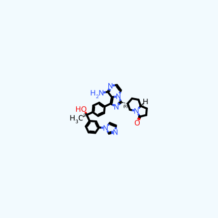 C[C@](O)(c1ccc(-c2nc([C@@H]3CC[C@H]4CCC(=O)N4C3)n3ccnc(N)c23)cc1)c1cccc(-n2ccnc2)c1